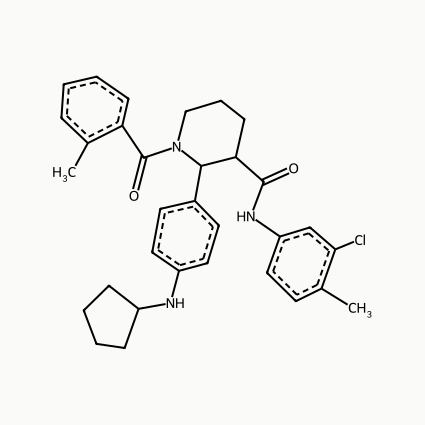 Cc1ccc(NC(=O)C2CCCN(C(=O)c3ccccc3C)C2c2ccc(NC3CCCC3)cc2)cc1Cl